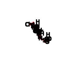 CC1(C)CCC(CN2CCN(c3ccc(C(=O)NS(=O)(=O)c4ccc(NC[C@H]5CC[C@H](N6CCN(CCCCCSc7cccc8c7CN(C7CCC(=O)NC7=O)C8=O)CC6)CC5)c([N+](=O)[O-])c4)c(Oc4cnc5[nH]ccc5c4)c3)CC2)=C(c2ccc(Cl)cc2)C1